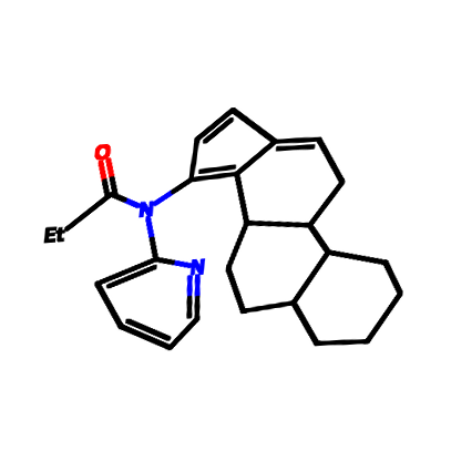 CCC(=O)N(C1=C2C(=CCC3C2CCC2CCCCC23)C=C1)c1ccccn1